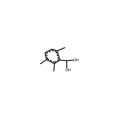 Cc1ccc(C)c(C(O)O)c1C